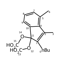 CCCCC1=C(C)c2c(C)cccc2C1(OC(=O)O)OC(=O)O